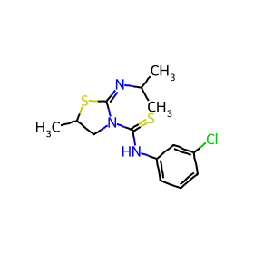 CC(C)/N=C1/SC(C)CN1C(=S)Nc1cccc(Cl)c1